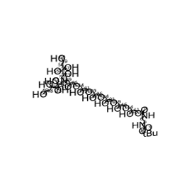 CC(C)(C)OC(=O)NCCNC(=O)OCC(O)COCC(O)COCC(O)COCC(O)COCC(O)COCC(O)CN(CC(O)C(O)C(O)CCO)CC(O)C(O)C(O)CCO